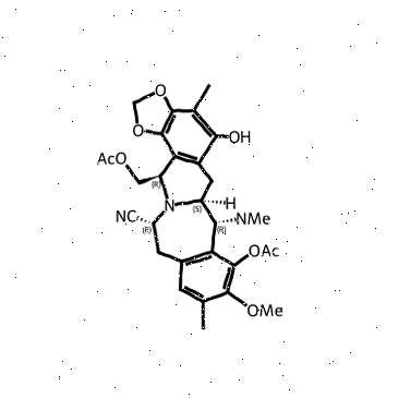 CN[C@@H]1c2c(cc(C)c(OC)c2OC(C)=O)C[C@H](C#N)N2[C@@H](COC(C)=O)c3c(c(O)c(C)c4c3OCO4)C[C@@H]12